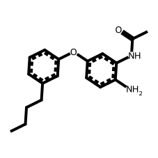 CCCCc1cccc(Oc2ccc(N)c(NC(C)=O)c2)c1